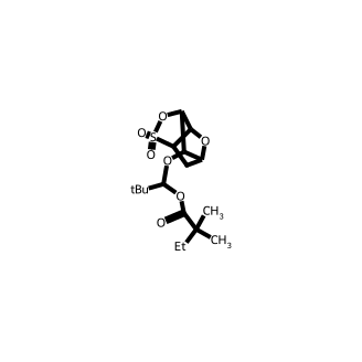 CCC(C)(C)C(=O)OC(OC1C2CC3C(O2)C1OS3(=O)=O)C(C)(C)C